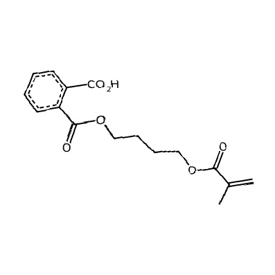 C=C(C)C(=O)OCCCCOC(=O)c1ccccc1C(=O)O